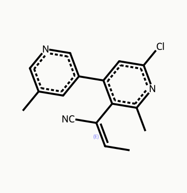 C/C=C(/C#N)c1c(-c2cncc(C)c2)cc(Cl)nc1C